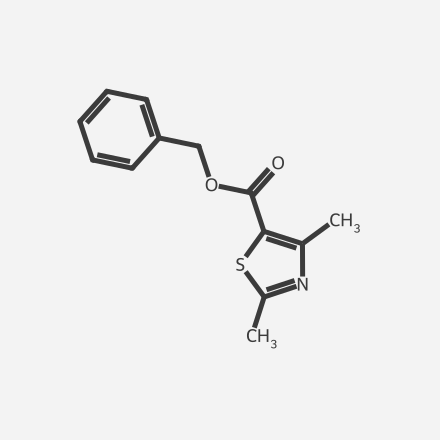 Cc1nc(C)c(C(=O)OCc2ccccc2)s1